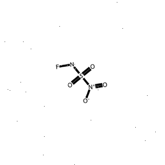 O=[N+]([O-])S(=O)(=O)[N]F